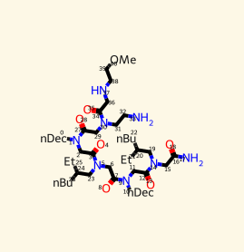 CCCCCCCCCCN(CC(=O)N(CC(=O)N(CCCCCCCCCC)CC(=O)N(CC(N)=O)CC(CC)CCCC)CC(CC)CCCC)C(=O)CN(CCN)C(=O)CNCCOC